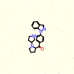 O=C(c1ccc(-n2ncc3ccccc32)cc1)C1CCCN1[C@H]1CCNC1